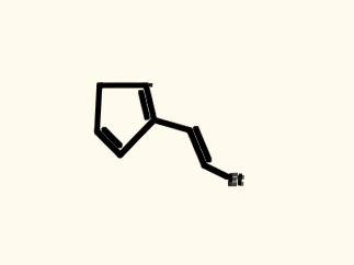 CCC=CC1=[C]CC=C1